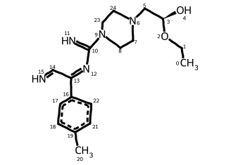 CCO[C@H](O)CN1CCN(C(=N)/N=C(\C=N)c2ccc(C)cc2)CC1